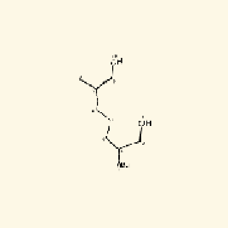 CCCCC(CO)CCCC(C)CO